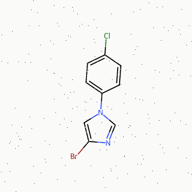 Clc1ccc(-n2cnc(Br)c2)cc1